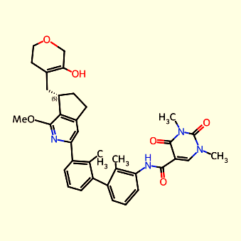 COc1nc(-c2cccc(-c3cccc(NC(=O)c4cn(C)c(=O)n(C)c4=O)c3C)c2C)cc2c1[C@H](CC1=C(O)COCC1)CC2